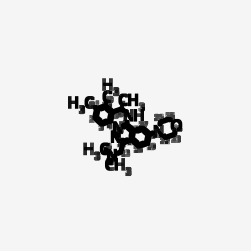 Cc1cccc([C@@H](C)Nc2nnc(CN(C)C)c3ccc(N4CCOCC4)cc23)c1C